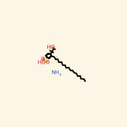 CCCCCCCCCCCCCCCCCCc1cc(S(=O)(=O)O)ccc1C(C)(C)C(C)O.N